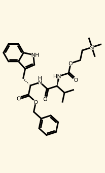 CC(C)[C@H](NC(=O)OCC[Si](C)(C)C)C(=O)N[C@@H](Cc1c[nH]c2ccccc12)C(=O)OCc1ccccc1